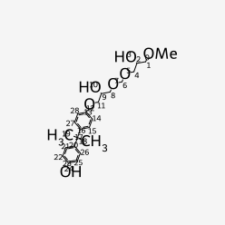 COCC(O)COCOCC(O)COc1ccc(C(C)(C)c2ccc(O)cc2)cc1